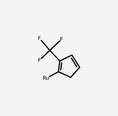 FC(F)(F)C1=[C]([Ru])CC=C1